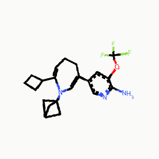 Nc1ncc(C2=CN(C34CC(C3)C4)C(C3CCC3)=CCC2)cc1OC(F)(F)F